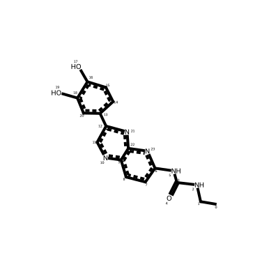 CCNC(=O)Nc1ccc2ncc(-c3ccc(O)c(O)c3)nc2n1